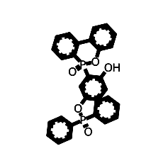 O=P(Oc1ccc(O)c(P2(=O)Oc3ccccc3-c3ccccc32)c1)(c1ccccc1)c1ccccc1